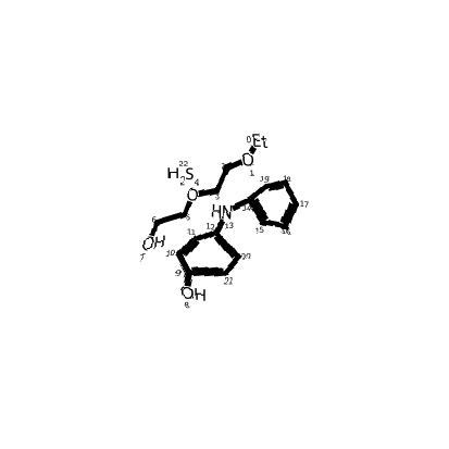 CCOCCOCCO.Oc1ccc(Nc2ccccc2)cc1.S